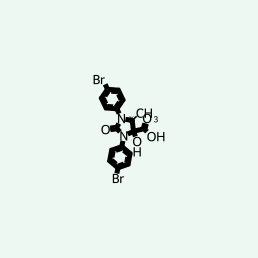 C[C@H]1N(c2ccc(Br)cc2)C(=O)N(c2ccc(Br)cc2)C1(O)C(=O)O